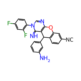 [C-]#[N+]c1ccc2c(c1)Oc1ncn(-c3ccc(F)cc3F)c(=N)c1C2c1cccc(N)c1